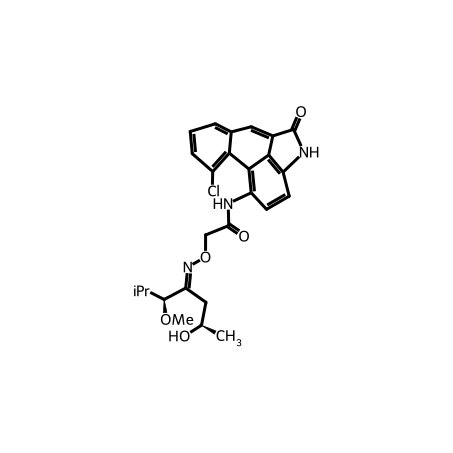 CO[C@H](/C(C[C@@H](C)O)=N/OCC(=O)Nc1ccc2c3c(cc4cccc(Cl)c4c13)C(=O)N2)C(C)C